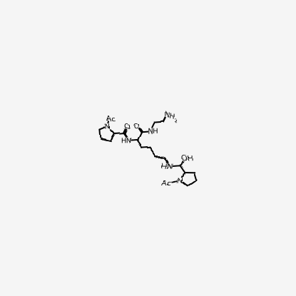 CC(=O)N1CCCC1C(=O)NC(CCCCNC(O)C1CCCN1C(C)=O)C(=O)NCCN